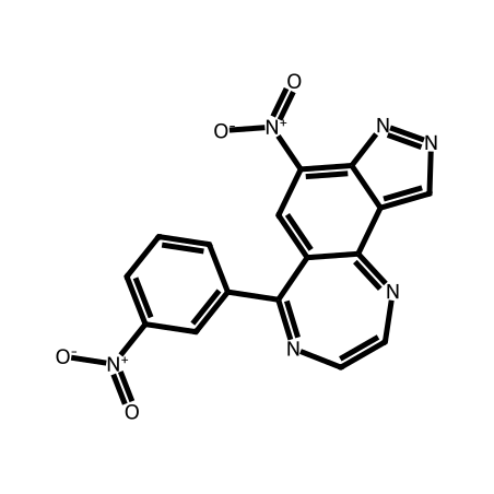 O=[N+]([O-])c1cccc(-c2nccnc3c2cc([N+](=O)[O-])c2nncc23)c1